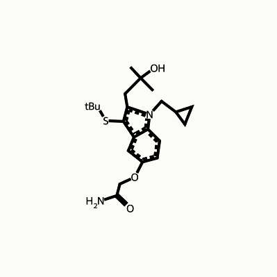 CC(C)(O)Cc1c(SC(C)(C)C)c2cc(OCC(N)=O)ccc2n1CC1CC1